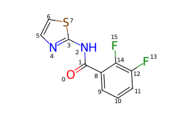 O=C(Nc1nccs1)c1cccc(F)c1F